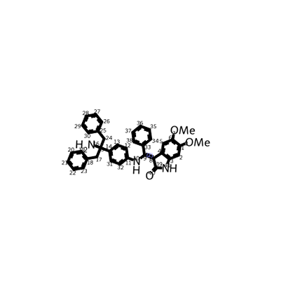 COc1cc2c(cc1OC)/C(=C(/Nc1ccc(C(N)(Cc3ccccc3)Cc3ccccc3)cc1)c1ccccc1)C(=O)N2